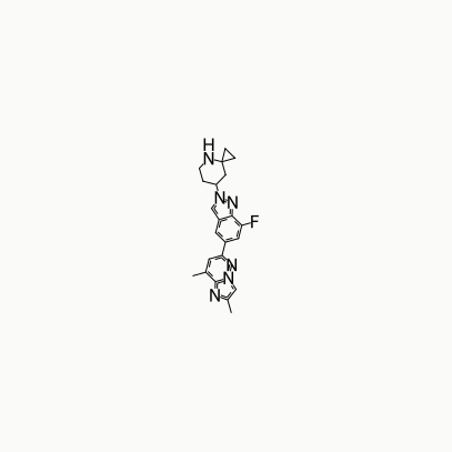 Cc1cn2nc(-c3cc(F)c4nn(C5CCNC6(CC6)C5)cc4c3)cc(C)c2n1